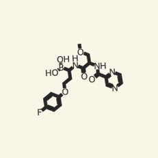 COCC(NC(=O)c1cnccn1)C(=O)NC(CCOc1ccc(F)cc1)B(O)O